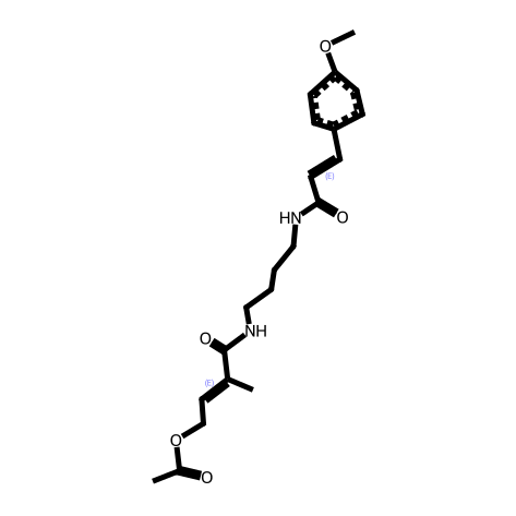 COc1ccc(/C=C/C(=O)NCCCCNC(=O)/C(C)=C/COC(C)=O)cc1